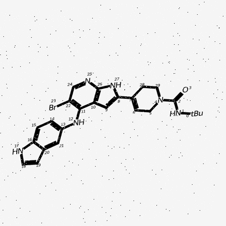 CC(C)(C)NC(=O)N1CC=C(c2cc3c(Nc4ccc5[nH]ccc5c4)c(Br)cnc3[nH]2)CC1